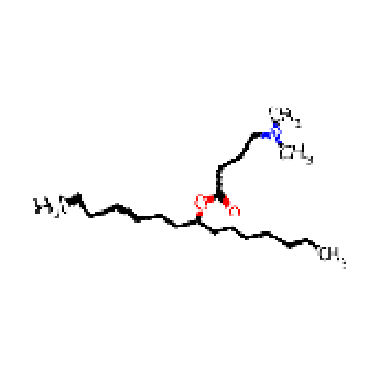 CCCCCCCC(CCCCCCC)OC(=O)CCCN(C)C